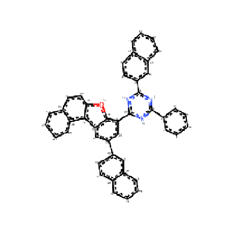 c1ccc(-c2nc(-c3ccc4ccccc4c3)nc(-c3cc(-c4ccc5ccccc5c4)cc4c3oc3ccc5ccccc5c34)n2)cc1